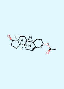 CC(=O)OC1=CC2=CC[C@@H]3[C@H](CC[C@]4(C)C(=O)CC[C@@H]34)[C@H]2CC1